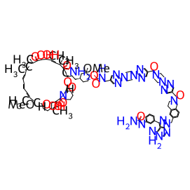 CO[C@H]1C[C@@H]2CC[C@@H](C)[C@@](O)(O2)C(=O)C(=O)N2CCCC[C@H]2C(=O)O[C@H]([C@H](N)C[C@@H]2CC[C@@H](OC(=O)NCc3cnc(N4CCN(c5ncc(C(=O)N6CCN(c7ncc(C(=O)N8CCc9cc(Cn%10nc(-c%11ccc%12oc(N)nc%12c%11)c%11c(N)ncnc%11%10)ccc9C8)cn7)CC6)cn5)CC4)nc3)[C@H](OC)C2)CC(=O)[C@H](C)/C=C(\C)[C@@H](O)[C@@H](O)C(=O)[C@H](C)C[C@H](C)/C=C/C=C/C=C/1C